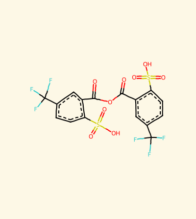 O=C(OC(=O)c1cc(C(F)(F)F)ccc1S(=O)(=O)O)c1cc(C(F)(F)F)ccc1S(=O)(=O)O